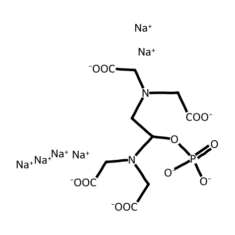 O=C([O-])CN(CC(=O)[O-])CC(OP(=O)([O-])[O-])N(CC(=O)[O-])CC(=O)[O-].[Na+].[Na+].[Na+].[Na+].[Na+].[Na+]